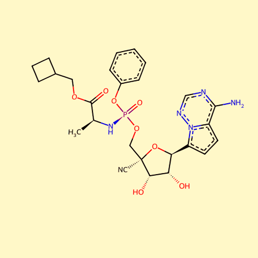 C[C@H](N[P@@](=O)(OC[C@@]1(C#N)O[C@@H](c2ccc3c(N)ncnn23)[C@H](O)[C@@H]1O)Oc1ccccc1)C(=O)OCC1CCC1